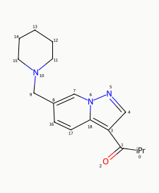 CC(C)C(=O)c1cnn2cc(CN3CCCCC3)ccc12